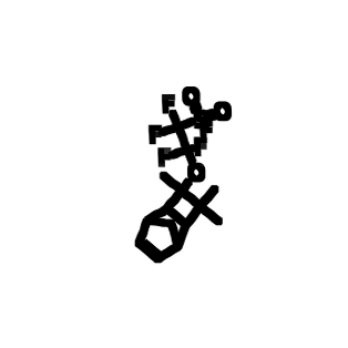 CC1(C)C2C3C=CC(C3)C2C1(C)OC(F)(F)C(F)(F)S(=O)(=O)F